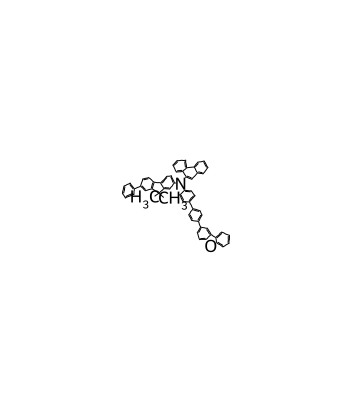 CC1(C)c2cc(-c3ccccc3)ccc2-c2ccc(N(c3ccc(-c4ccc(-c5ccc6oc7ccccc7c6c5)cc4)cc3)c3cc4ccccc4c4ccccc34)cc21